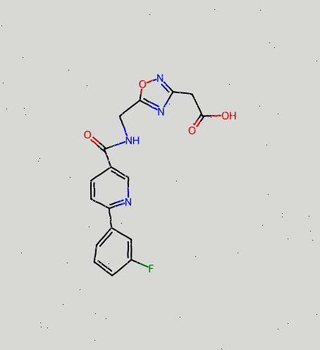 O=C(O)Cc1noc(CNC(=O)c2ccc(-c3cccc(F)c3)nc2)n1